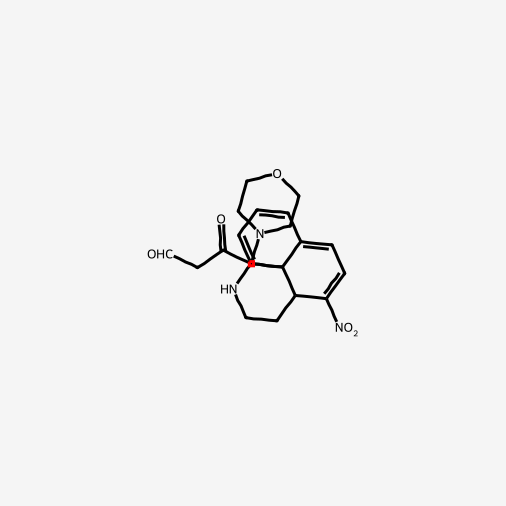 O=CCC(=O)C1(N2CCOCC2)NCCC2C([N+](=O)[O-])=CC=C3C=CC=CC321